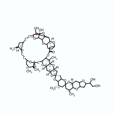 C=C1CC2CC[C@@]34OC5C6O[C@@](O)(C(O3)C6OC3CCC(CC(=O)OC6C(C[C@H]7OC(CC[C@@H]1O2)C[C@@H](C)C7=C)O[C@H]1C[C@H]2O[C@@]7(CC8OC9(C[C@H](C)C8O7)C[C@H](C)C7OC8CC(C(O)CO)OC8C[C@@H]7O9)C[C@H]2O[C@H]1[C@@H]6C)O[C@@H]35)C4O